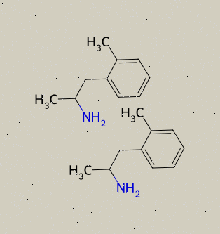 Cc1ccccc1CC(C)N.Cc1ccccc1CC(C)N